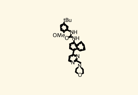 COc1ccc(C(C)(C)C)cc1NC(=O)Nc1ccc(-c2ccnc(CN3CCOCC3)n2)c2ccccc12